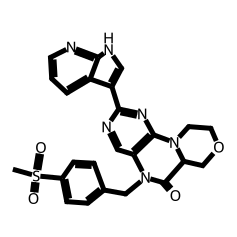 CS(=O)(=O)c1ccc(CN2C(=O)C3COCCN3c3nc(-c4c[nH]c5ncccc45)ncc32)cc1